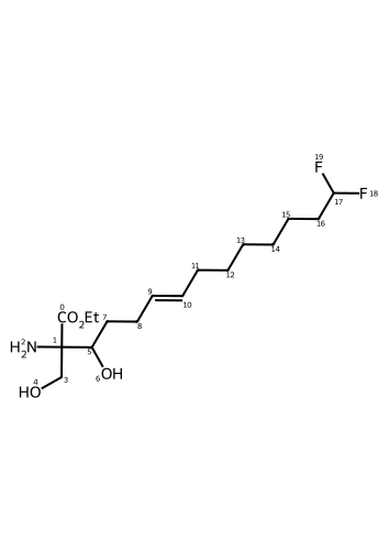 CCOC(=O)C(N)(CO)C(O)CC/C=C/CCCCCCC(F)F